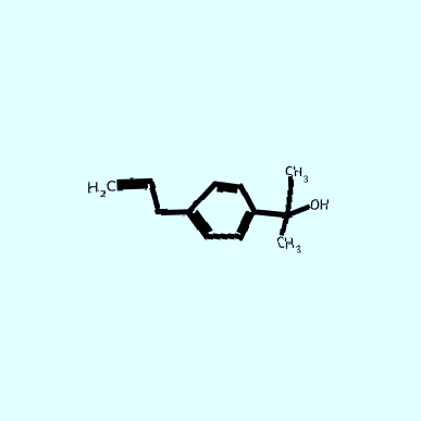 C=CCc1ccc(C(C)(C)O)cc1